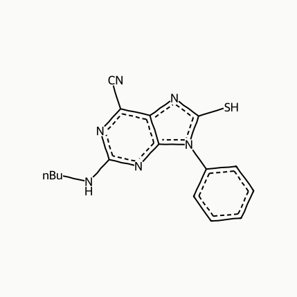 CCCCNc1nc(C#N)c2nc(S)n(-c3ccccc3)c2n1